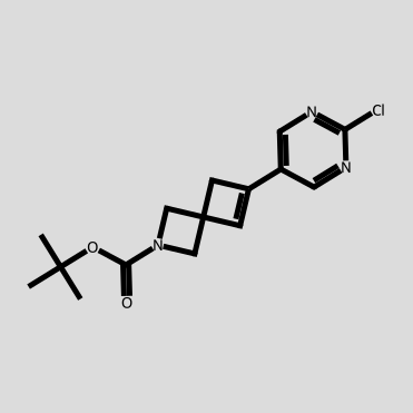 CC(C)(C)OC(=O)N1CC2(C=C(c3cnc(Cl)nc3)C2)C1